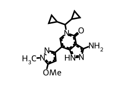 COc1cc(-c2cn(C(C3CC3)C3CC3)c(=O)c3c(N)n[nH]c23)nn1C